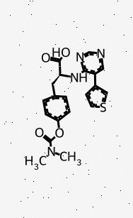 CN(C)C(=O)Oc1ccc(C[C@H](Nc2ncncc2-c2ccsc2)C(=O)O)cc1